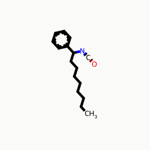 CCCCCCCCC(N=C=O)c1[c]cccc1